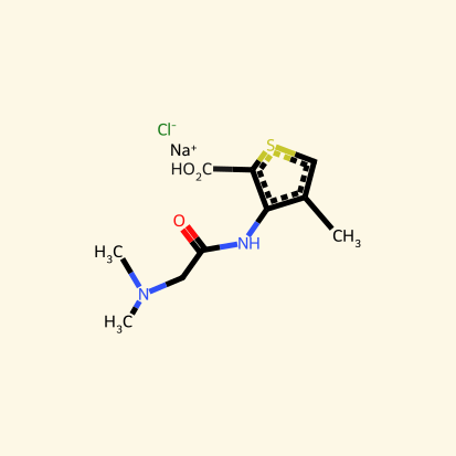 Cc1csc(C(=O)O)c1NC(=O)CN(C)C.[Cl-].[Na+]